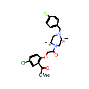 COC(=O)c1cc(Cl)ccc1OCC(=O)N1C[C@H](C)N(Cc2ccc(F)cc2)C[C@H]1C